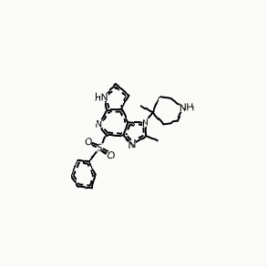 Cc1nc2c(S(=O)(=O)c3ccccc3)nc3[nH]ccc3c2n1C1(C)CCNCC1